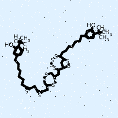 CC(C)(C)c1ccc(CCCCCCCC2SSSSC(CC3CSSCC(CC4SC4CC4SC4CCCCCCCc4ccc(C(C)(C)C)c(O)c4)SS3)C3CC2SS3)cc1O